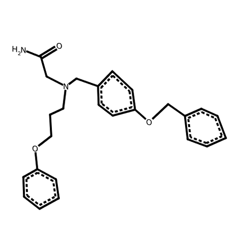 NC(=O)CN(CCCOc1ccccc1)Cc1ccc(OCc2ccccc2)cc1